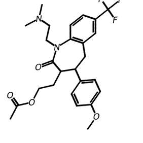 COc1ccc(C2Cc3cc(C(F)(F)F)ccc3N(CCN(C)C)C(=O)C2CCOC(C)=O)cc1